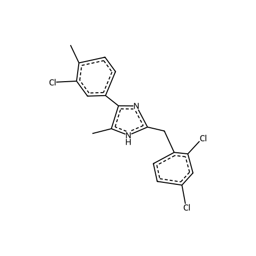 Cc1ccc(-c2nc(Cc3ccc(Cl)cc3Cl)[nH]c2C)cc1Cl